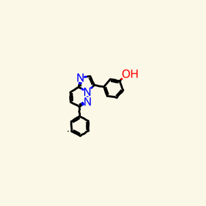 Oc1cccc(-c2cnc3ccc(-c4c[c]ccc4)nn23)c1